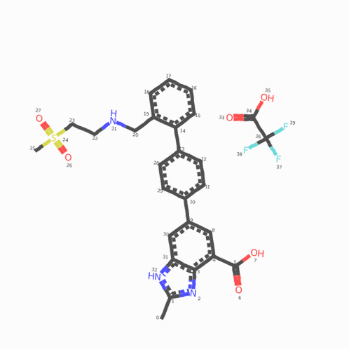 Cc1nc2c(C(=O)O)cc(-c3ccc(-c4ccccc4CNCCS(C)(=O)=O)cc3)cc2[nH]1.O=C(O)C(F)(F)F